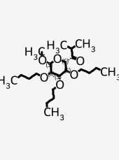 CCCCO[C@@H]1[C@@H](OCCCC)[C@@H](OC)O[C@H](C(=O)C(C)C)[C@H]1OCCCC